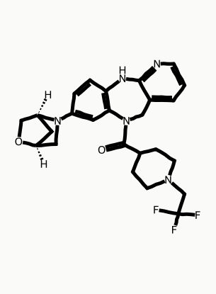 O=C(C1CCN(CC(F)(F)F)CC1)N1Cc2cccnc2Nc2ccc(N3C[C@@H]4C[C@H]3CO4)cc21